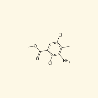 COC(=O)c1cc(Cl)c(C)c(N)c1Cl